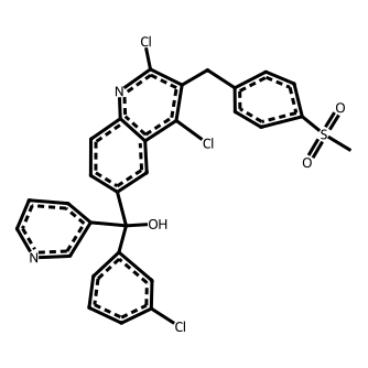 CS(=O)(=O)c1ccc(Cc2c(Cl)nc3ccc(C(O)(c4cccnc4)c4cccc(Cl)c4)cc3c2Cl)cc1